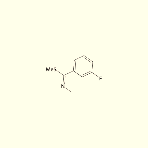 C/N=C(/SC)c1cccc(F)c1